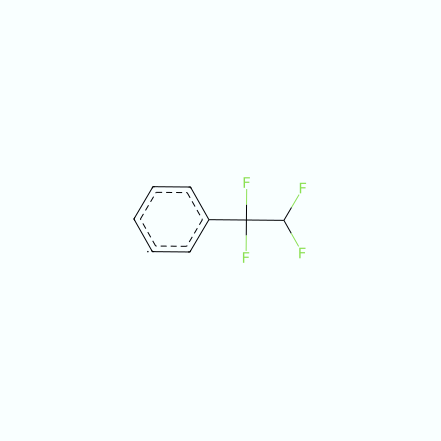 FC(F)C(F)(F)c1c[c]ccc1